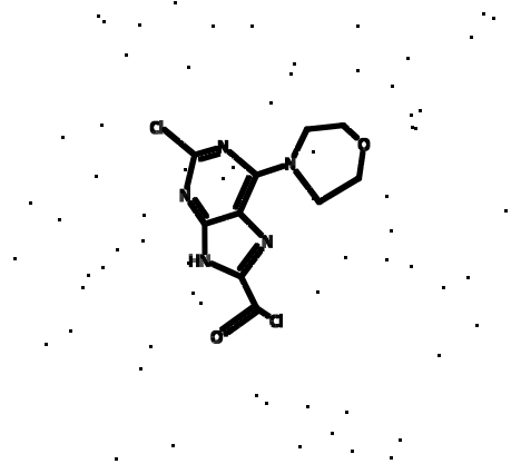 O=C(Cl)c1nc2c(N3CCOCC3)nc(Cl)nc2[nH]1